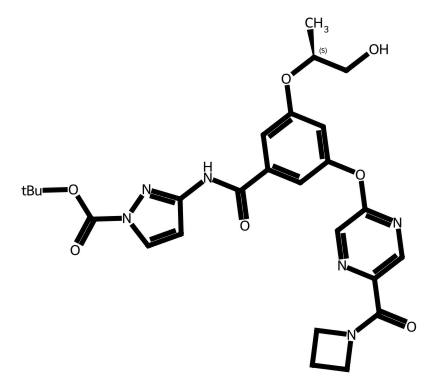 C[C@@H](CO)Oc1cc(Oc2cnc(C(=O)N3CCC3)cn2)cc(C(=O)Nc2ccn(C(=O)OC(C)(C)C)n2)c1